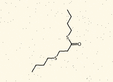 CCCCSCCC(=O)SCCCC